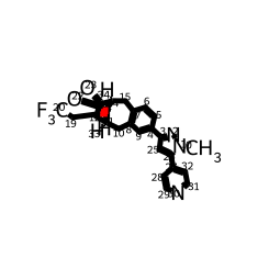 Cn1nc(-c2ccc3c(c2)C[C@H]2CC[C@@H](C3)[C@]23CN(CC(F)(F)F)S(=O)(=O)N3)cc1-c1ccncc1